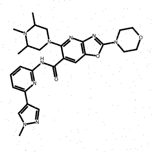 CC1CN(c2nc3nc(N4CCOCC4)oc3cc2C(=O)Nc2cccc(-c3cnn(C)c3)n2)CC(C)N1C